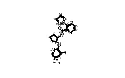 Cc1cc(C(F)(F)F)cnc1N[C@H]1CCCC1NC(=O)c1ncccc1-n1nccn1